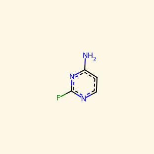 Nc1ccnc(F)n1